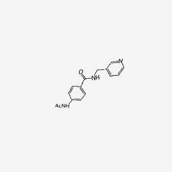 CC(=O)Nc1ccc(C(=O)NCc2cccnc2)cc1